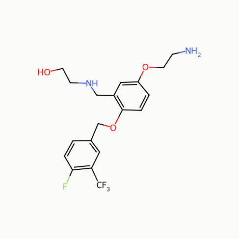 NCCOc1ccc(OCc2ccc(F)c(C(F)(F)F)c2)c(CNCCO)c1